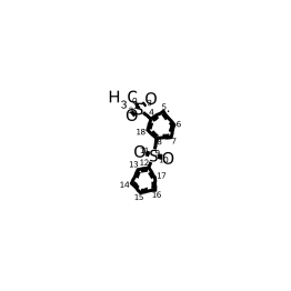 CS(=O)(=O)c1[c]ccc(S(=O)(=O)c2ccccc2)c1